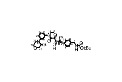 CC(C)(C)OC(=O)NCc1ccc(NC(=O)[C@H](O)[C@H]2OCCN(c3cccc(N4CCOCC4=O)c3)C2=O)cc1